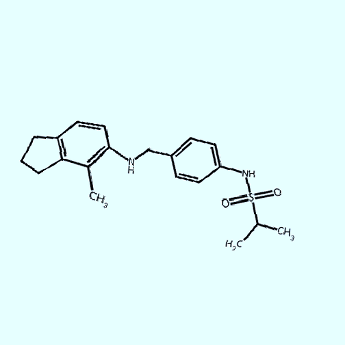 Cc1c(NCc2ccc(NS(=O)(=O)C(C)C)cc2)ccc2c1CCC2